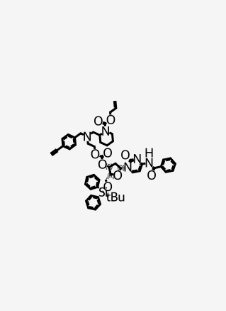 C#Cc1ccc(CN(CCOC(=O)O[C@H]2C[C@H](n3ccc(NC(=O)c4ccccc4)nc3=O)O[C@@H]2CO[Si](c2ccccc2)(c2ccccc2)C(C)(C)C)CC2CCCCN2C(=O)OCC=C)cc1